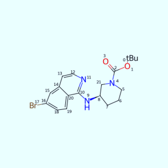 CC(C)(C)OC(=O)N1CCC[C@@H](Nc2nccc3cc(Br)ccc23)C1